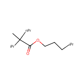 CCCC(C)(C(=O)OCCCC(C)C)C(C)C